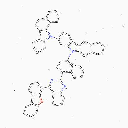 c1ccc2cc3c(cc2c1)c1ccc(-n2c4ccccc4c4ccc5ccccc5c42)cc1n3-c1ccc(-c2nc(-c3cccc4c3oc3ccccc34)c3ccccc3n2)c2ccccc12